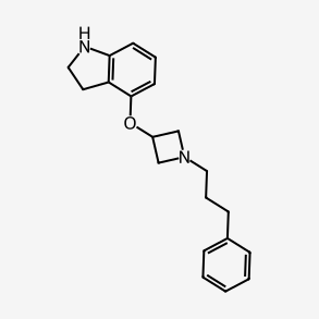 c1ccc(CCCN2CC(Oc3cccc4c3CCN4)C2)cc1